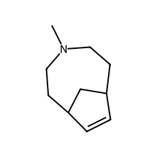 CN1CCC2C=CC(CC1)C2